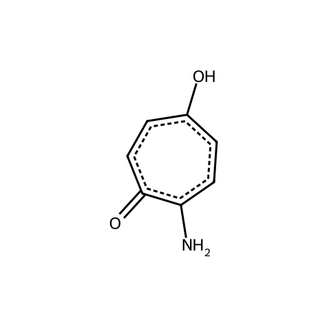 Nc1ccc(O)ccc1=O